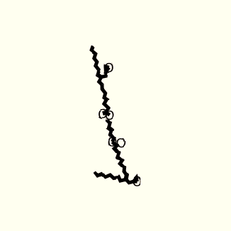 CCCCCCCCC(CCCCCCCCC(=O)OCCCCCCOC(=O)CCCCCCCCC(CCCCCCCC)CC1CO1)CC1CO1